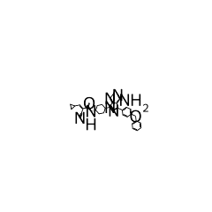 N#CC(=CC1CC1)C(=O)N[C@H]1CC[C@H](n2nc(-c3ccc(Oc4ccccc4)cc3)c3c(N)ncnc32)CC1